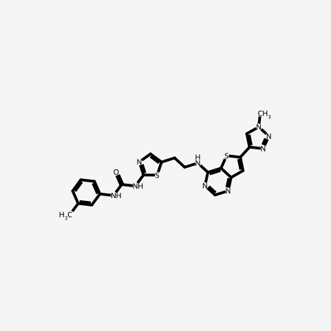 Cc1cccc(NC(=O)Nc2ncc(CCNc3ncnc4cc(-c5cn(C)nn5)sc34)s2)c1